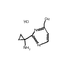 Cl.NC1(c2nccc(O)n2)CC1